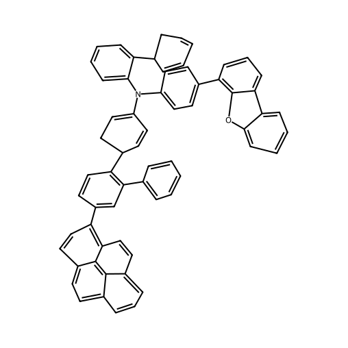 C1=CCC(c2ccccc2N(C2=CCC(c3ccc(-c4ccc5ccc6cccc7ccc4c5c67)cc3-c3ccccc3)C=C2)c2ccc(-c3cccc4c3oc3ccccc34)cc2)C=C1